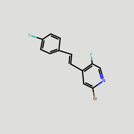 Fc1ccc(C=Cc2cc(Br)ncc2F)cc1